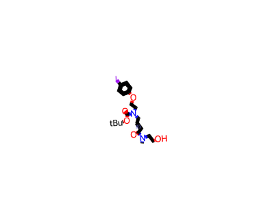 CN(CCO)C(=O)/C=C/CN(CCOc1ccc(I)cc1)C(=O)OC(C)(C)C